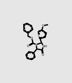 COc1ccc(C2NC(=O)C(c3ccccc3)N2C(=O)OCc2ccccc2)cc1